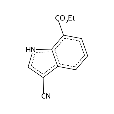 CCOC(=O)c1cccc2c(C#N)c[nH]c12